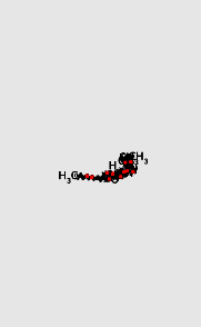 CCCCCCCCCCc1ccc(NC(=O)N2CCN(c3ncnc4cc(OC)c(OC)cc34)CC2)cc1